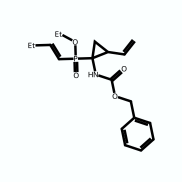 C=CC1CC1(NC(=O)OCc1ccccc1)P(=O)(C=CCC)OCC